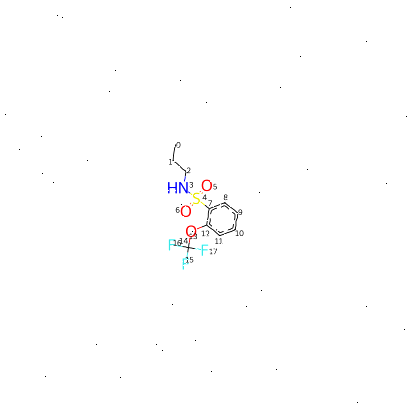 CCCNS(=O)(=O)c1ccccc1OC(F)(F)F